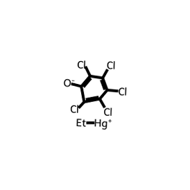 C[CH2][Hg+].[O-]c1c(Cl)c(Cl)c(Cl)c(Cl)c1Cl